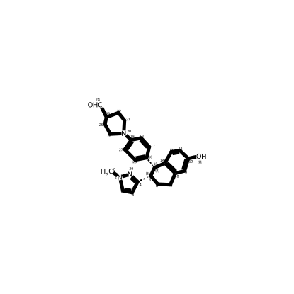 Cn1ccc([C@H]2CCc3cc(O)ccc3[C@H]2c2ccc(N3CCC(C=O)CC3)cc2)n1